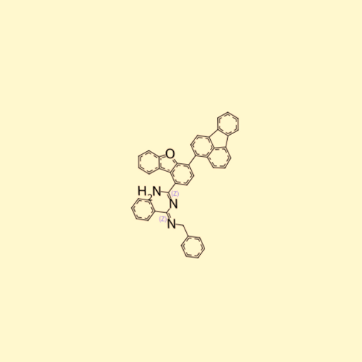 N/C(=N\C(=N/Cc1ccccc1)c1ccccc1)c1ccc(-c2ccc3c4c(cccc24)-c2ccccc2-3)c2oc3ccccc3c12